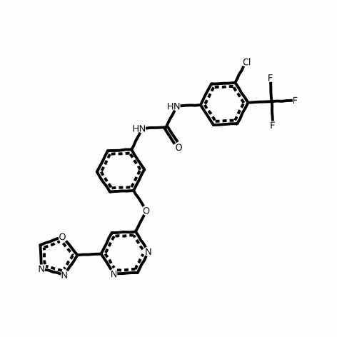 O=C(Nc1cccc(Oc2cc(-c3nnco3)ncn2)c1)Nc1ccc(C(F)(F)F)c(Cl)c1